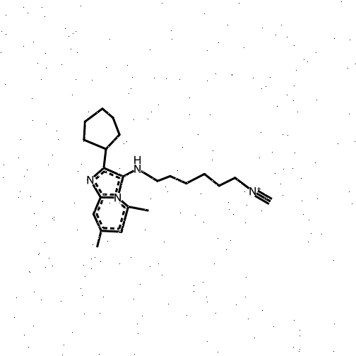 C#[N+]CCCCCCNc1c(C2CCCCC2)nc2cc(C)cc(C)n12